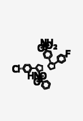 NS(=O)(=O)c1ccc(C2=C(c3ccc(F)cc3)CCC2)cc1.O=S(=O)(NC1=C(c2ccc(Cl)cc2)CCC1)c1ccccc1